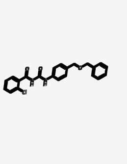 O=C(NC(=O)c1ccccc1Cl)Nc1ccc(COCc2ccccc2)cc1